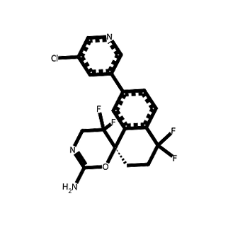 NC1=NCC(F)(F)[C@]2(CCC(F)(F)c3ccc(-c4cncc(Cl)c4)cc32)O1